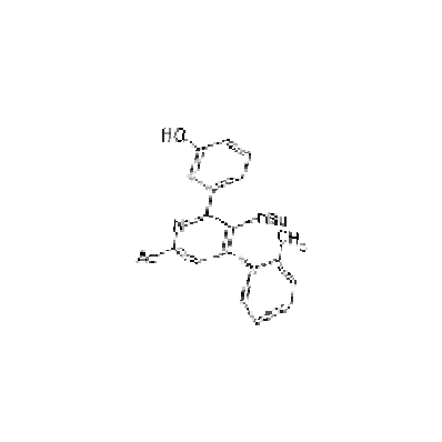 CCCCc1c(-c2ccccc2C)cc(C(C)=O)nc1-c1cccc(O)c1